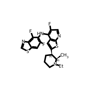 CCN1CCC[C@@H](c2cc3c(Nc4c(F)cc5scnc5c4F)c(F)cnc3s2)[C@H]1C